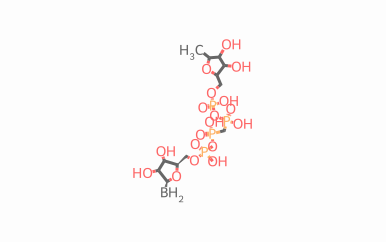 B[C@@H]1O[C@H](COP(=O)(O)OP(=O)(O)CP(=O)(O)OP(=O)(O)OCC2OC(C)C(O)C2O)C(O)C1O